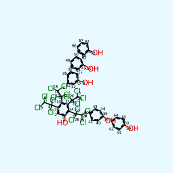 Oc1cc(C(Cl)(Cl)C(Cl)Cl)c(C(Cl)(Cl)C(Cl)Cl)c(C(Cl)(Cl)C(Cl)Cl)c1C(Cl)(Cl)C(Cl)Cl.Oc1ccccc1.Oc1ccccc1.Oc1ccccc1.Oc1ccccc1.Oc1ccccc1